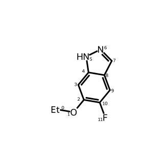 CCOc1cc2[nH]ncc2cc1F